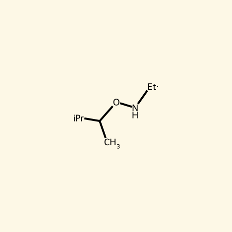 C[CH]NOC(C)C(C)C